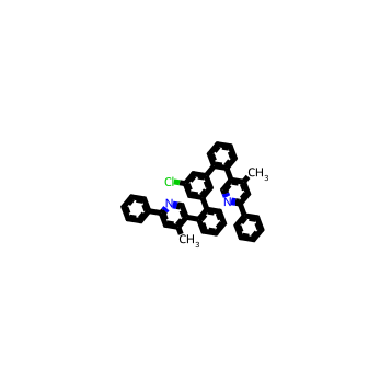 Cc1cc(-c2ccccc2)ncc1-c1ccccc1-c1cc(Cl)cc(-c2ccccc2-c2cnc(-c3ccccc3)cc2C)c1